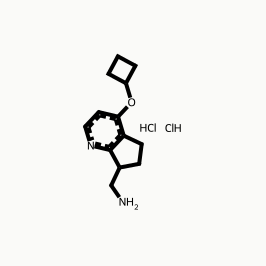 Cl.Cl.NCC1CCc2c(OC3CCC3)ccnc21